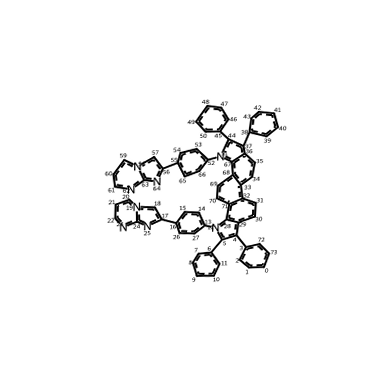 c1ccc(-c2c(-c3ccccc3)n(-c3ccc(-c4cn5cccnc5n4)cc3)c3c2ccc2c4ccc5c(-c6ccccc6)c(-c6ccccc6)n(-c6ccc(-c7cn8cccnc8n7)cc6)c5c4ccc23)cc1